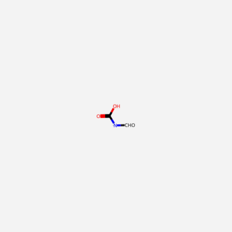 O=C[N]C(=O)O